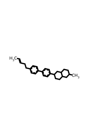 CC=CCCc1ccc(-c2ccc(C3CCC4CC(C)CCC4C3)cc2)cc1